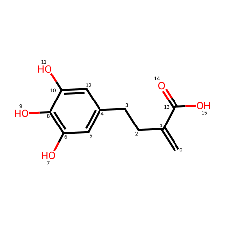 C=C(CCc1cc(O)c(O)c(O)c1)C(=O)O